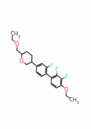 CCOCC1CCC(c2ccc(-c3ccc(OCC)c(F)c3F)c(F)c2)CO1